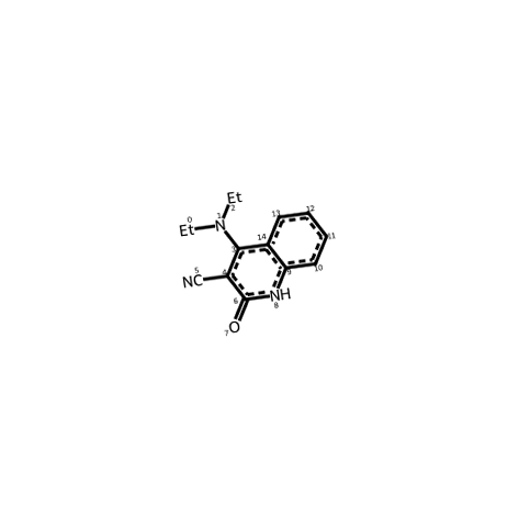 CCN(CC)c1c(C#N)c(=O)[nH]c2ccccc12